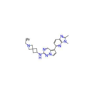 Cc1nc2ccc(-c3ccn4nc(NC5CC6(C5)CN(CC(C)C)C6)ncc34)nc2n1C